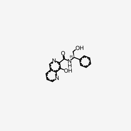 O=C(N[C@@H](CO)c1ccccc1)c1ncc2cccnc2c1O